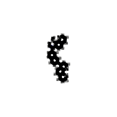 C=Nc1c(/C(=C\C)c2ccc3ccc(-c4ccnc5c4ccc4cccnc45)cc3c2)ccc2cccnc12